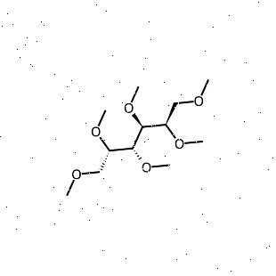 COC[C@H](OC)[C@@H](OC)[C@@H](OC)[C@@H](COC)OC